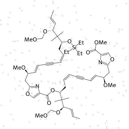 C/C=C/[C@@H](OCOC)C(C)(C)[C@H](C/C=C\C#C/C=C/[C@@H](Cc1nc(C(=O)OC)co1)OC)OC(=O)c1coc(C[C@H](/C=C/C#C/C=C\C[C@H](O[Si](CC)(CC)CC)C(C)(C)[C@@H](/C=C/C)OCOC)OC)n1